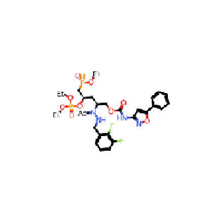 CCO[PH](=O)C[C@@H](C[C@@H](COC(=O)Nc1cc(-c2ccccc2)on1)N(NCc1cccc(F)c1F)C(C)=O)OP(=O)(OCC)OCC